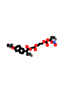 COc1ccc2cc([C@H](C)C(=O)OCC(=O)OCCCOC(=O)OC(C)ON=O)ccc2c1